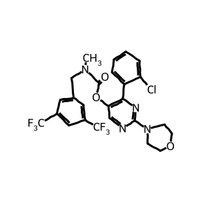 CN(Cc1cc(C(F)(F)F)cc(C(F)(F)F)c1)C(=O)Oc1cnc(N2CCOCC2)nc1-c1ccccc1Cl